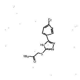 CCc1ccc(-c2nnc(SCC(=O)C(C)(C)C)[nH]2)cc1